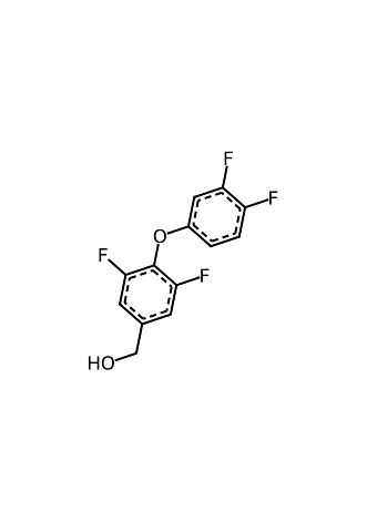 OCc1cc(F)c(Oc2ccc(F)c(F)c2)c(F)c1